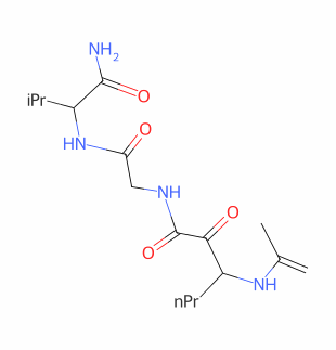 C=C(C)NC(CCC)C(=O)C(=O)NCC(=O)NC(C(N)=O)C(C)C